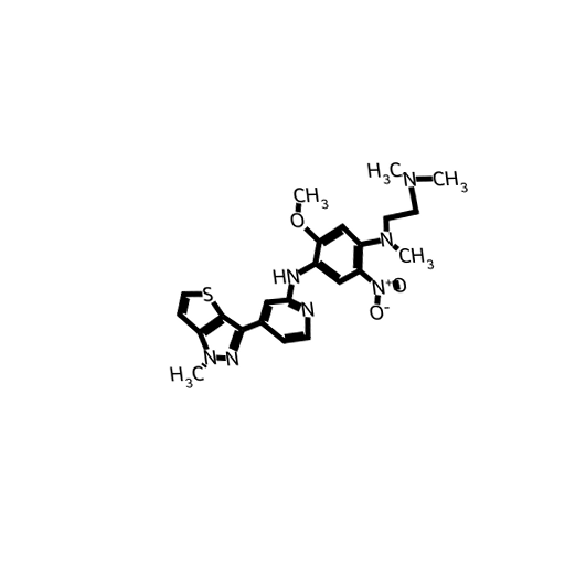 COc1cc(N(C)CCN(C)C)c([N+](=O)[O-])cc1Nc1cc(-c2nn(C)c3ccsc23)ccn1